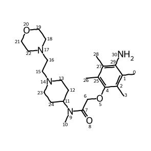 Cc1c(C)c(OCC(=O)N(C)C2CCN(CCN3CCOCC3)CC2)c(C)c(C)c1N